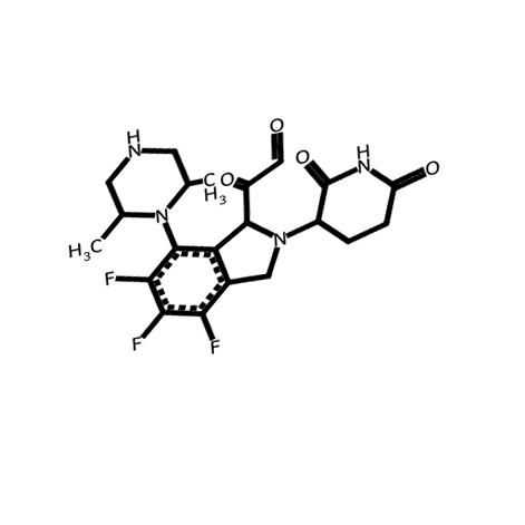 CC1CNCC(C)N1c1c(F)c(F)c(F)c2c1C(C(=O)C=O)N(C1CCC(=O)NC1=O)C2